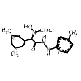 Cc1ccnc(NNC(=O)C(C2C[C@@H](C)C[C@@H](C)C2)N(O)C=O)c1